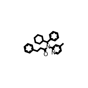 Cc1ccnc(N(C(=O)CCc2ccccc2)C(c2ccccc2)C2CCCCC2)c1